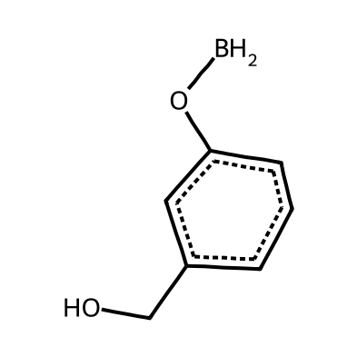 BOc1cccc(CO)c1